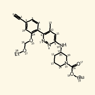 C#Cc1ccc(-c2nnc(N[C@@H]3CCCN(C(=O)OC(C)(C)C)C3)cc2C)c(OCOCC)c1